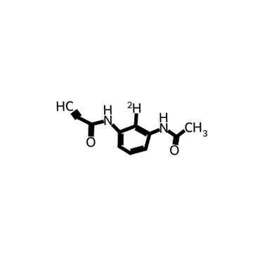 [2H]c1c(NC(C)=O)cccc1NC(=O)C#C